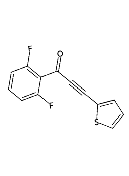 O=C(C#Cc1cccs1)c1c(F)cccc1F